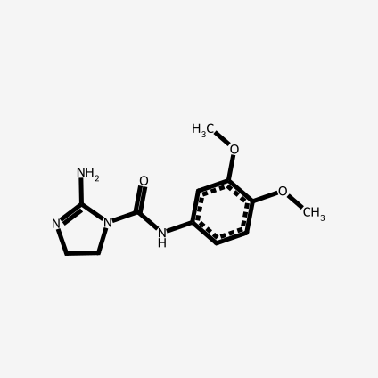 COc1ccc(NC(=O)N2CCN=C2N)cc1OC